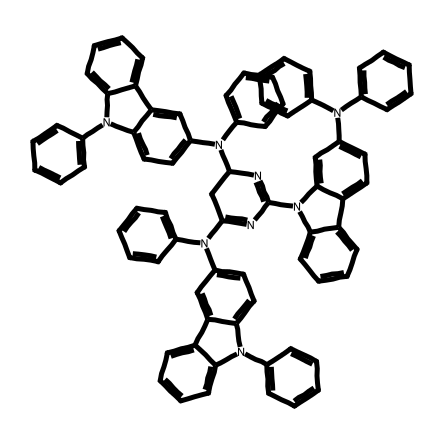 c1ccc(N(C2=NC(n3c4ccccc4c4ccc(N(c5ccccc5)c5ccccc5)cc43)=NC(N(c3ccccc3)c3ccc4c(c3)c3ccccc3n4-c3ccccc3)C2)c2ccc3c(c2)c2ccccc2n3-c2ccccc2)cc1